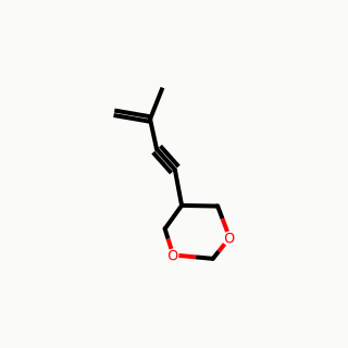 C=C(C)C#CC1COCOC1